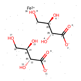 O=C([O-])[C@H](O)[C@H](O)CO.O=C([O-])[C@H](O)[C@H](O)CO.[Fe+2]